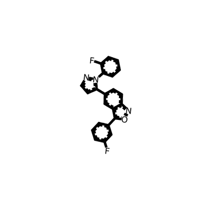 Fc1cccc(-c2onc3ccc(-c4ccnn4-c4ccccc4F)cc23)c1